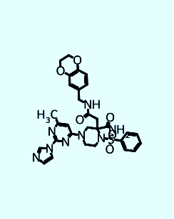 Cc1cc(N2CCN(S(=O)(=O)c3ccccc3)C(CC(=O)NCc3ccc4c(c3)OCCO4)(C(N)=O)C2)nc(-n2ccnc2)n1